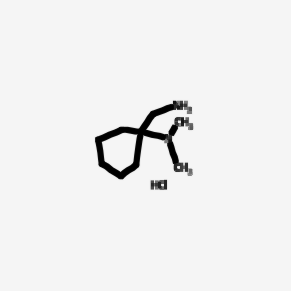 CN(C)C1(CN)CCCCC1.Cl